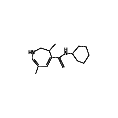 C=C(NC1CCCCC1)C1=CC(C)=CNCC1C